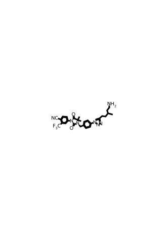 CC(CCN)CCc1cn(-c2ccc(CN3C(=O)N(c4ccc(C#N)c(C(F)(F)F)c4)C(=O)C3(C)C)cc2)nn1